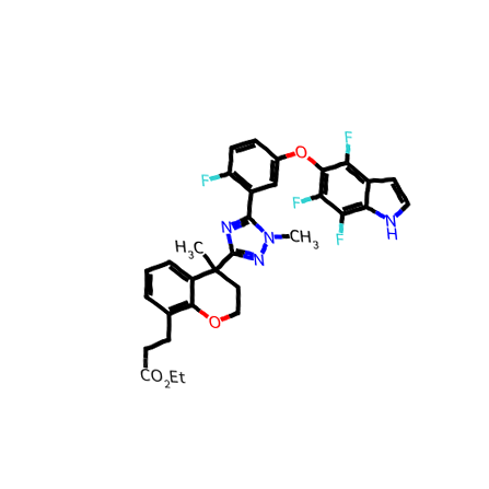 CCOC(=O)CCc1cccc2c1OCCC2(C)c1nc(-c2cc(Oc3c(F)c(F)c4[nH]ccc4c3F)ccc2F)n(C)n1